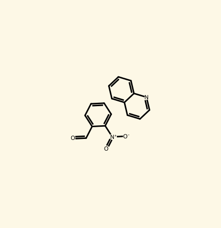 O=Cc1ccccc1[N+](=O)[O-].c1ccc2ncccc2c1